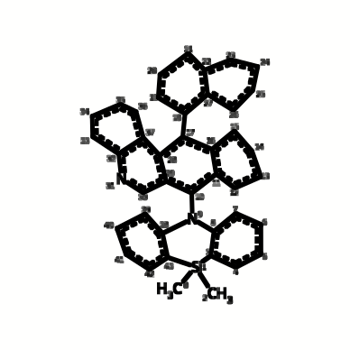 C[Si]1(C)c2ccccc2N(c2c3ccccc3c(-c3cccc4ccccc34)c3c2cnc2ccccc23)c2ccccc21